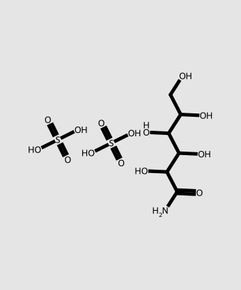 NC(=O)C(O)C(O)C(O)C(O)CO.O=S(=O)(O)O.O=S(=O)(O)O